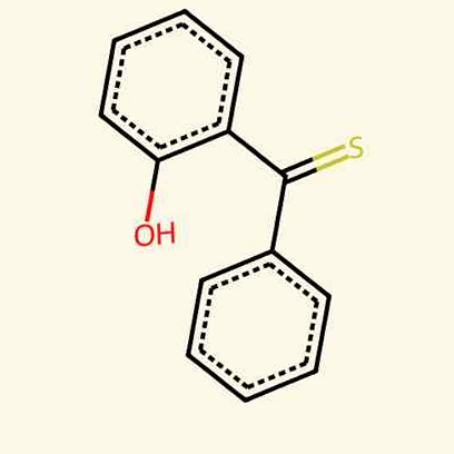 Oc1ccccc1C(=S)c1ccccc1